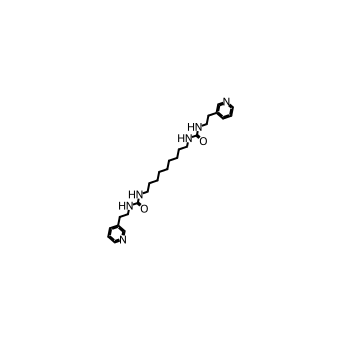 O=C(NCCCCCCCCCNC(=O)NCCc1cccnc1)NCCc1cccnc1